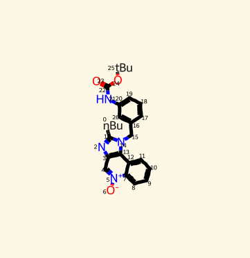 CCCCc1nc2c[n+]([O-])c3ccccc3c2n1Cc1cccc(NC(=O)OC(C)(C)C)c1